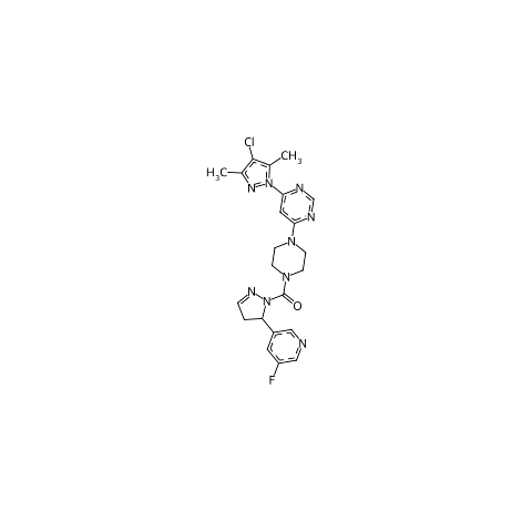 Cc1nn(-c2cc(N3CCN(C(=O)N4N=CCC4c4cncc(F)c4)CC3)ncn2)c(C)c1Cl